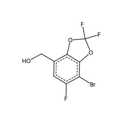 OCc1cc(F)c(Br)c2c1OC(F)(F)O2